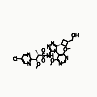 COc1ncnc(OC)c1-n1c(NS(=O)(=O)[C@@H](C)[C@H](OC)c2ncc(Cl)cn2)nnc1[C@H]1C[C@H](CO)C1